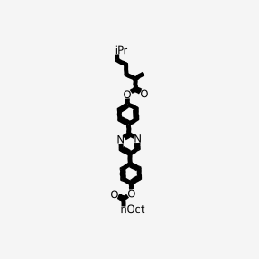 CCCCCCCCC(=O)Oc1ccc(-c2cnc(-c3ccc(OC(=O)C(C)CCCC(C)C)cc3)nc2)cc1